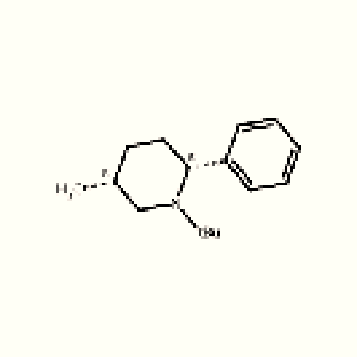 C[C@@H]1CC[C@H](c2ccccc2)N(C(C)(C)C)C1